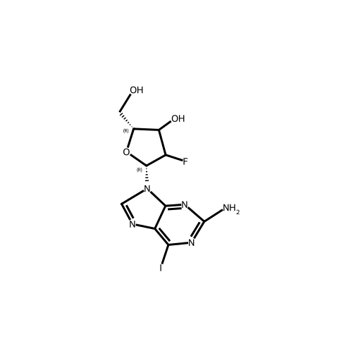 Nc1nc(I)c2ncn([C@@H]3O[C@H](CO)C(O)C3F)c2n1